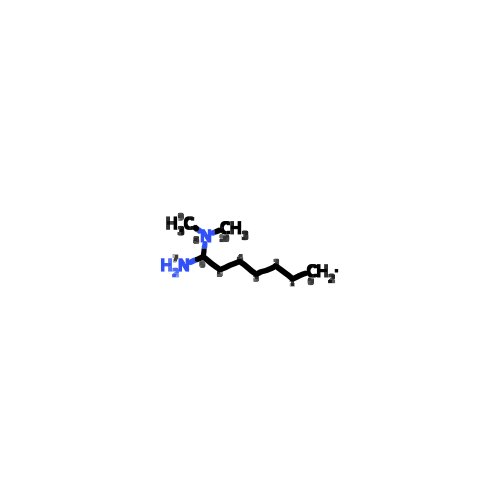 [CH2]CCCCCC(N)N(C)C